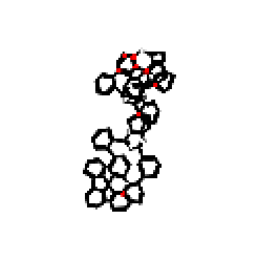 c1ccc(-c2cccc(-c3nc(-c4cccc(-c5cccc6c5-c5ccccc5[C@@]65c6ccccc6Oc6ccc(-c7ccccc7-c7nc(-c8ccccc8)nc(-c8ccccc8-c8ccccc8)n7)cc65)c4)nc(-c4ccccc4-c4ccc5c(c4)C4(c6ccccc6O5)c5ccccc5-c5ccccc54)n3)c2)cc1